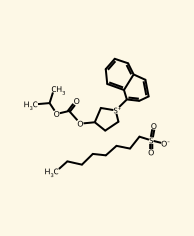 CC(C)OC(=O)OC1CC[S+](c2cccc3ccccc23)C1.CCCCCCCCS(=O)(=O)[O-]